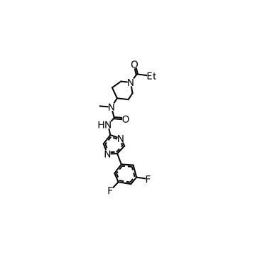 CCC(=O)N1CCC(N(C)C(=O)Nc2cnc(-c3cc(F)cc(F)c3)cn2)CC1